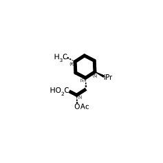 CC(=O)O[C@@H](C[C@@H]1C[C@H](C)CC[C@H]1C(C)C)C(=O)O